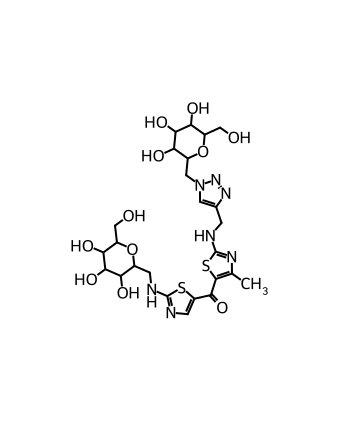 Cc1nc(NCc2cn(CC3OC(CO)C(O)C(O)C3O)nn2)sc1C(=O)c1cnc(NCC2OC(CO)C(O)C(O)C2O)s1